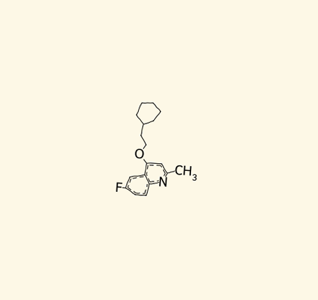 Cc1cc(OCCC2CCCCC2)c2cc(F)ccc2n1